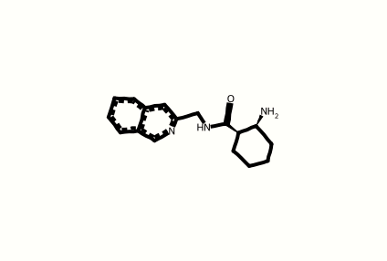 N[C@H]1CCCC[C@H]1C(=O)NCc1cc2ccccc2cn1